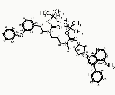 CC(C)(C)OC(=O)N(CCCN(C[C@@H]1CC[C@H](n2cc(-c3ccccc3)c3c(N)ncnc32)C1)C(=O)OC(C)(C)C)CCc1cccc(Oc2ccccc2)c1